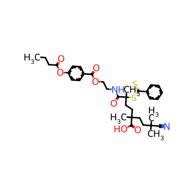 CCCC(=O)Oc1ccc(C(=O)OCCNC(=O)C(C)(CCC(C)(CCC(C)(C)C#N)C(=O)O)SC(=S)c2ccccc2)cc1